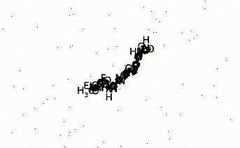 CCN(C)S(=O)(=O)Nc1ccc(F)c(C(=O)c2c[nH]c3ncc(-c4cnc(N5CCN(C(=O)C6CCC6N6CCC(c7ccc(NC8CCC(=O)NC8=O)cc7)CC6)CC5)nc4)cc23)c1F